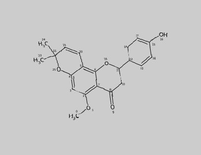 COc1cc2c(c3c1C(=O)CC(C1C=CC(O)=CC1)O3)C=CC(C)(C)O2